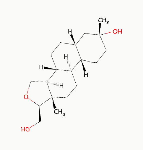 C[C@@]1(O)CC[C@H]2[C@H](CC[C@@H]3[C@@H]2CC[C@]2(C)[C@@H](CO)OC[C@@H]32)C1